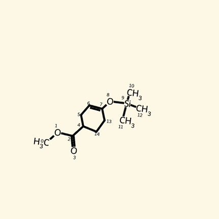 COC(=O)C1CC=C(O[Si](C)(C)C)CC1